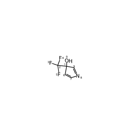 OC1(C(F)(F)F)C=CN=C1